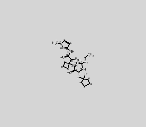 CCOC(=O)N[C@H](CC1(F)CCCC1)C(=O)NC1(C(O)C(=O)Nc2ccn(C)n2)CCC1